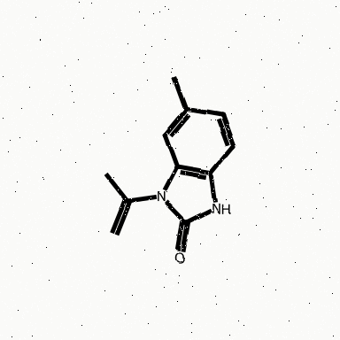 C=C(C)n1c(=O)[nH]c2ccc(C)cc21